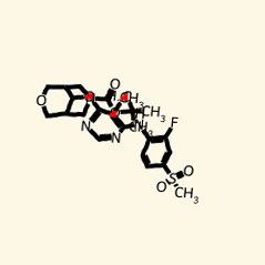 Cc1c(Nc2ccc(S(C)(=O)=O)cc2F)ncnc1OC1C2COCC1CN(C(=O)OC(C)(C)C)C2